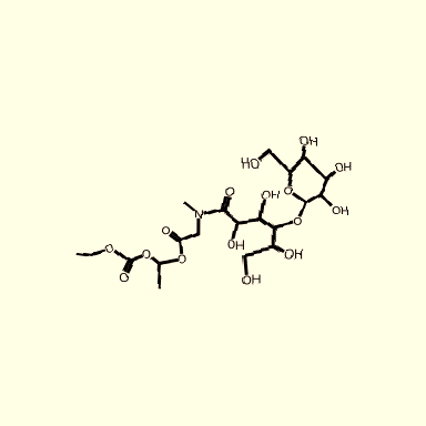 CCOC(=O)OC(C)OC(=O)CN(C)C(=O)C(O)C(O)C(OC1OC(CO)C(O)C(O)C1O)C(O)CO